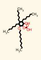 CCCCCCCCCCOc1c(CCCCCC)c(CCCCCC)c(CCCCCC)c(O)c1OC(=O)O